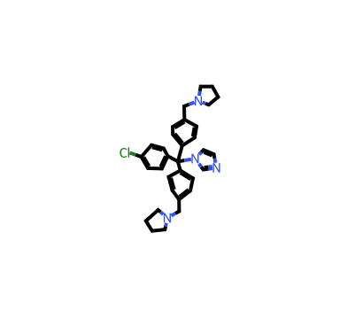 Clc1ccc(C(c2ccc(CN3CCCC3)cc2)(c2ccc(CN3CCCC3)cc2)n2ccnc2)cc1